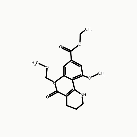 CCOC(=O)c1cc(OC)c2c3c(c(=O)n(COC)c2c1)CCCN3